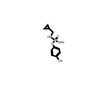 COP(=S)(NCC1CC1)Oc1ccc(C#N)cc1